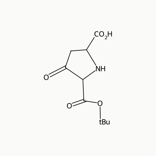 CC(C)(C)OC(=O)C1NC(C(=O)O)CC1=O